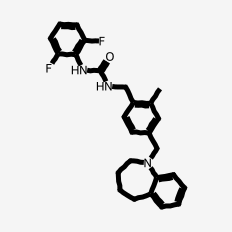 Cc1cc(CN2CCCCc3ccccc32)ccc1CNC(=O)Nc1c(F)cccc1F